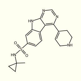 CC1(NS(=O)(=O)c2ccc3c(c2)[nH]c2ncnc(C4=CCNCC4)c23)CC1